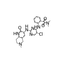 CN1CCc2[nH]c(=O)c(Nc3ncc(Cl)c(Nc4ccccc4S(=O)(=O)N(C)C)n3)cc2C1